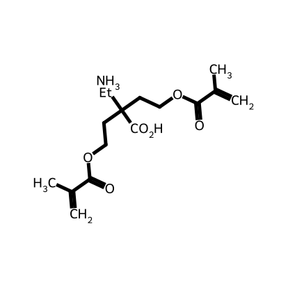 C=C(C)C(=O)OCCC(CC)(CCOC(=O)C(=C)C)C(=O)O.N